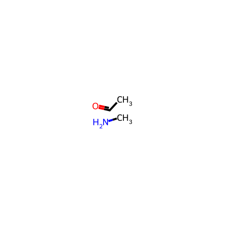 CC=O.CN